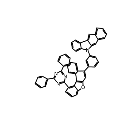 c1ccc(-c2nc(-c3ccccc3)nc(-c3cccc4oc5cc(-c6cccc(-n7c8ccccc8c8cc9ccccc9cc87)c6)c6ccccc6c5c34)n2)cc1